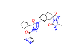 CNC(=O)C1(N2CC(C)NC2=O)CCc2ccc(NC(=O)[C@@H](NC(=O)c3ccnn3C)C3CCCCC3)cc2C1